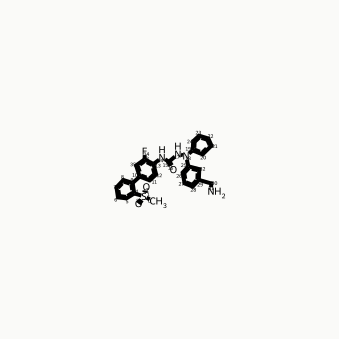 CS(=O)(=O)c1ccccc1-c1ccc(NC(=O)NN(c2ccccc2)c2cccc(CN)c2)c(F)c1